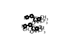 CCOc1cc2c(cc1C(F)(F)F)NC(=O)CC(c1cccc(-c3ccnc(C)c3)c1)=N2.Cc1cc2c(cc1C(F)(F)F)NC(=O)CC(c1cccc(-c3ccncc3)c1)=N2